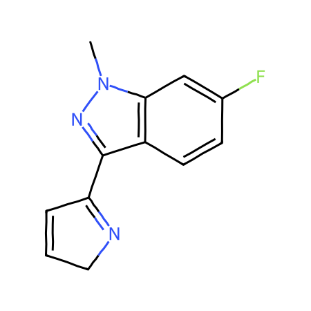 Cn1nc(C2=NCC=C2)c2ccc(F)cc21